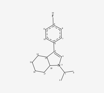 CC(C)N1C=C(c2ccc(F)cc2)C2CCCCC21